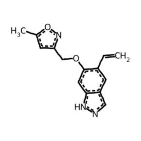 C=Cc1cc2cn[nH]c2cc1OCc1cc(C)on1